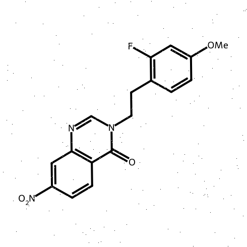 COc1ccc(CCn2cnc3cc([N+](=O)[O-])ccc3c2=O)c(F)c1